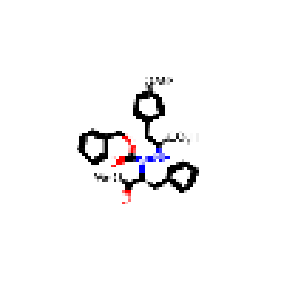 COC(=O)[C@H](Cc1ccccc1)N(N[C@@H](Cc1ccc(OC)cc1)C(=O)O)C(=O)OCc1ccccc1